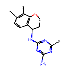 CCc1nc(N)nc(N[C@@H]2CCOc3c2ccc(C)c3C)n1